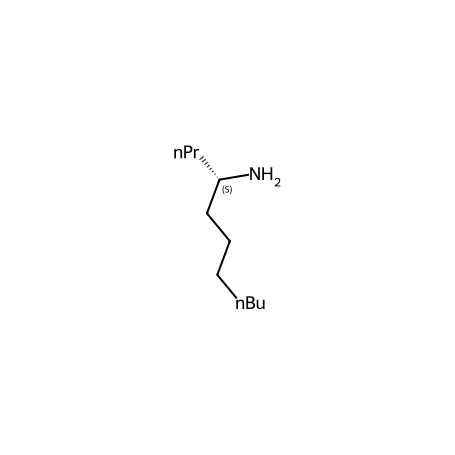 CCCCCCC[C@@H](N)CCC